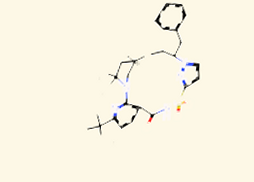 CC(C)(C)c1ccc2c(n1)N1C[C@@H](CCC(Cc3ccccc3)n3ccc(n3)S(=O)(=O)NC2=O)CC1(C)C